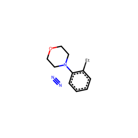 CCc1ccccc1N1CCOCC1.N#N